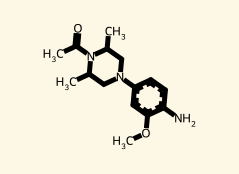 COc1cc(N2CC(C)N(C(C)=O)C(C)C2)ccc1N